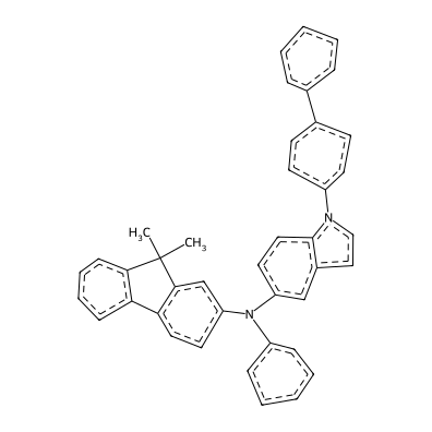 CC1(C)c2ccccc2-c2ccc(N(c3ccccc3)c3ccc4c(ccn4-c4ccc(-c5ccccc5)cc4)c3)cc21